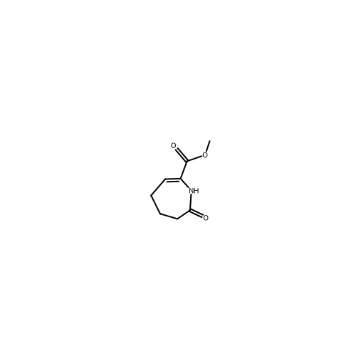 COC(=O)C1=CCCCC(=O)N1